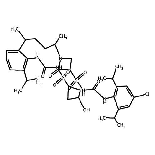 CC(C)c1cc(Cl)cc(C(C)C)c1NC(=O)NS(=O)(=O)C1CN(C(C)CCC(C)c2cccc(C(C)C)c2NC(=O)NS(=O)(=O)C2CC(O)N2)C1=O